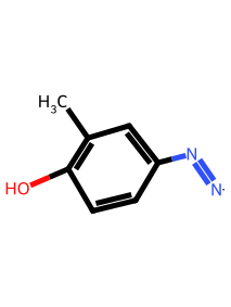 Cc1cc(N=[N])ccc1O